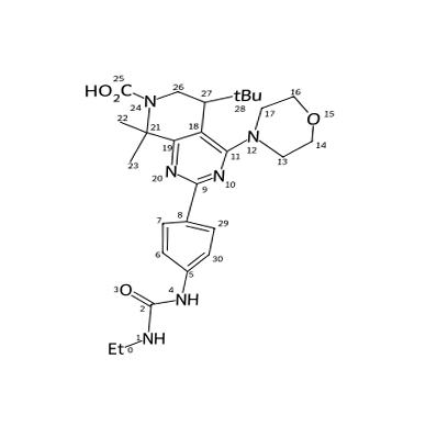 CCNC(=O)Nc1ccc(-c2nc(N3CCOCC3)c3c(n2)C(C)(C)N(C(=O)O)CC3C(C)(C)C)cc1